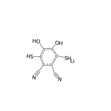 N#Cc1c(S)c(O)c(O)c(S)c1C#N.[Li]